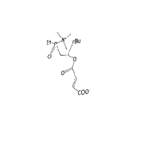 CCCCC(CP(=O)(CC)[N+](C)(C)C)OC(=O)/C=C/C(=O)[O-]